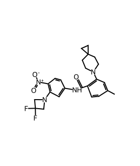 Cc1ccc(C(=O)Nc2ccc([N+](=O)[O-])c(N3CC(F)(F)C3)c2)c(N2CCC3(CC2)CC3)c1